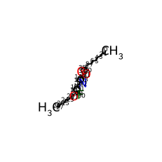 CCCCCCCCC[C@H]1CO[C@H](c2ccc(-c3ccc(OCCCCCCC)c(F)c3)nc2)OC1